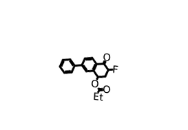 CCC(=O)OC1CC(F)C(=O)c2ccc(-c3ccccc3)cc21